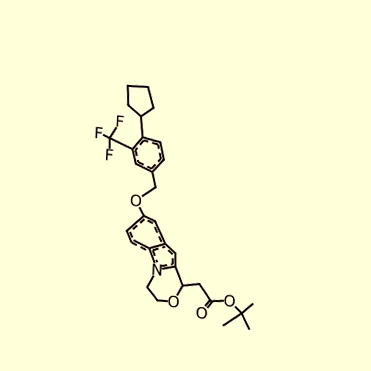 CC(C)(C)OC(=O)CC1OCCn2c1cc1cc(OCc3ccc(C4CCCC4)c(C(F)(F)F)c3)ccc12